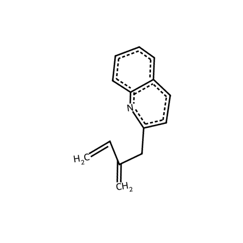 C=CC(=C)Cc1ccc2ccccc2n1